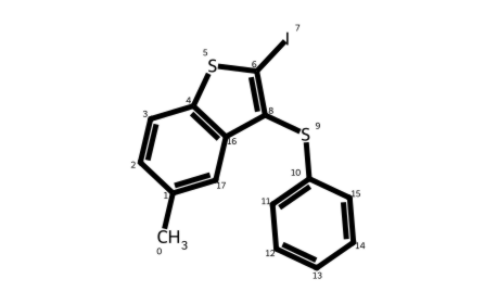 Cc1ccc2sc(I)c(Sc3ccccc3)c2c1